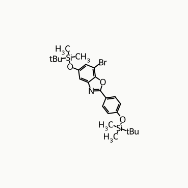 CC(C)(C)[Si](C)(C)Oc1ccc(-c2nc3cc(O[Si](C)(C)C(C)(C)C)cc(Br)c3o2)cc1